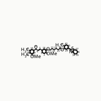 COc1ccc(/C=C/C(=O)c2cc(C)c(C)c(OC)c2)cc1OCCCCCCOc1cc(-c2nc3ccccc3s2)ccc1C